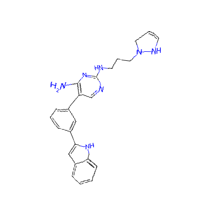 Nc1nc(NCCCN2CC=CN2)ncc1-c1cccc(-c2cc3ccccc3[nH]2)c1